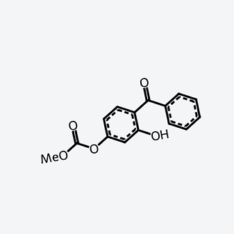 COC(=O)Oc1ccc(C(=O)c2ccccc2)c(O)c1